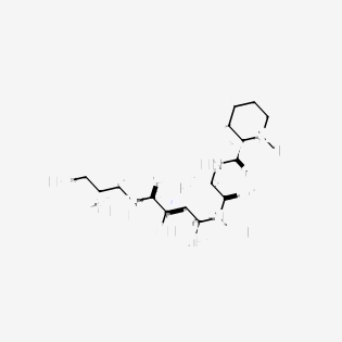 C/C(=C\[C@H](C(C)C)N(C)C(=O)[C@@H](NC(=O)[C@H]1CCCCN1C(C)C)C(C)C)C(=O)NC[C@H](O)CO